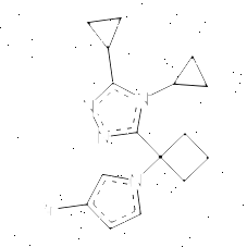 Brc1ccn(C2(c3nnc(C4CC4)n3C3CC3)CCC2)c1